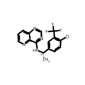 C[C@H](Nc1ncnc2cccnc12)c1ccc(Cl)c(C(F)(F)F)c1